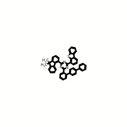 CC1(C)c2ccccc2-c2c(-c3nc(-c4ccccc4-c4ccc(-c5ccccc5)cc4)nc(-c4cccc5c4sc4ccccc45)n3)cccc21